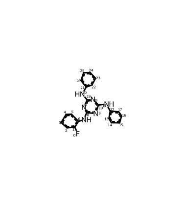 Fc1ccccc1Nc1nc(Nc2ccccc2)nc(Nc2ccccc2)n1